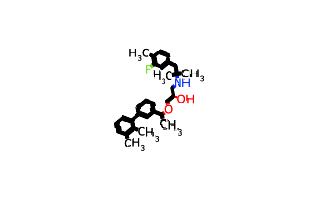 Cc1ccc(CC(C)(C)NC[C@@H](O)COC(C)c2cccc(-c3cccc(C)c3C)c2)cc1F